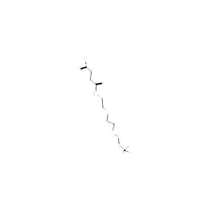 CC(C)(C)CCOCCOCCNC(=O)CCC(N)=O